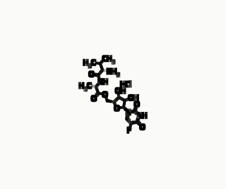 CC(C)[C@H](N)C(=O)N[C@@H](C)C(=O)OC[C@@H]1O[C@H](n2cc(F)c(=O)[nH]c2=O)C(O)C1O.Cl